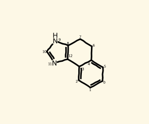 c1ccc2c(c1)CCc1[nH]cnc1-2